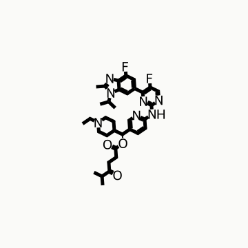 CCN1CCC([C@@H](OC(=O)CCC(=O)C(C)C)c2ccc(Nc3ncc(F)c(-c4cc(F)c5nc(C)n(C(C)C)c5c4)n3)nc2)CC1